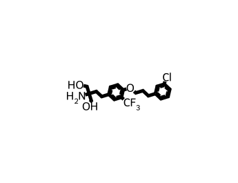 NC(CO)(CO)CCc1ccc(OCCCc2cccc(Cl)c2)c(C(F)(F)F)c1